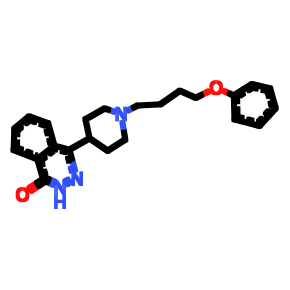 O=c1[nH]nc(C2CCN(CCCCOc3ccccc3)CC2)c2ccccc12